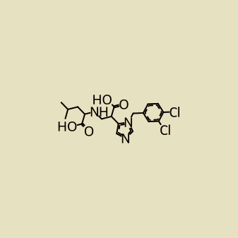 CC(C)CC(NCC(C(=O)O)c1cncn1Cc1ccc(Cl)c(Cl)c1)C(=O)O